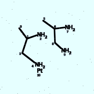 CC(N)CN.CC(N)CN.[Pt]